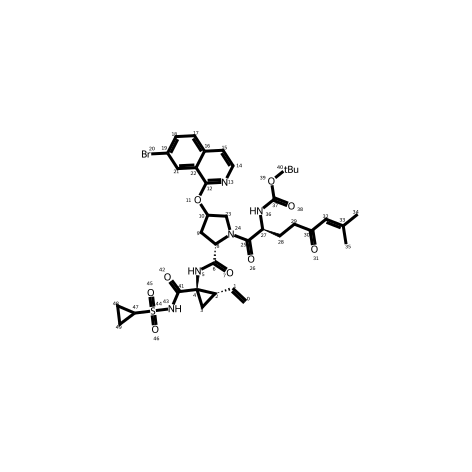 C=C[C@@H]1C[C@]1(NC(=O)[C@@H]1CC(Oc2nccc3ccc(Br)cc23)CN1C(=O)[C@H](CCC(=O)C=C(C)C)NC(=O)OC(C)(C)C)C(=O)NS(=O)(=O)C1CC1